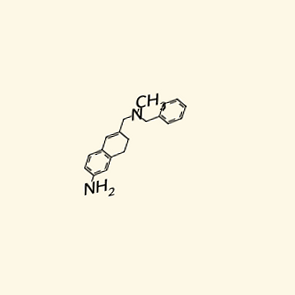 CN(CC1=Cc2ccc(N)cc2CC1)Cc1ccccc1